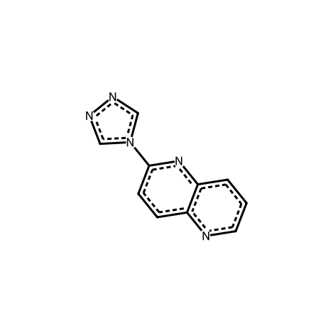 c1cnc2ccc(-n3cnnc3)nc2c1